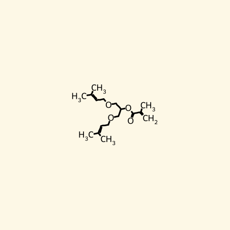 C=C(C)C(=O)OC(COCC=C(C)C)COCC=C(C)C